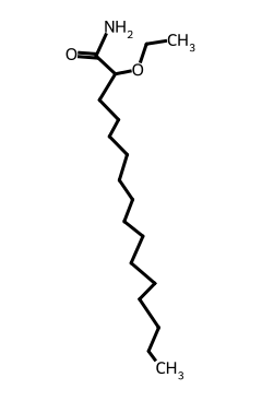 CCCCCCCCCCCCCCC(OCC)C(N)=O